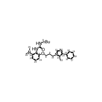 CCCCNC(=O)Nc1c(OCCCn2cnc(-c3ccccc3)c2C)cccc1N(C)C